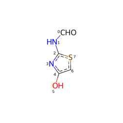 O=CNc1nc(O)cs1